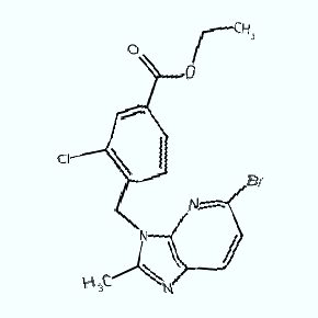 CCOC(=O)c1ccc(Cn2c(C)nc3ccc(Br)nc32)c(Cl)c1